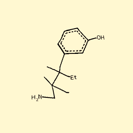 CCC(C)(c1cccc(O)c1)C(C)(C)CN